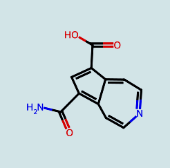 NC(=O)c1cc(C(=O)O)c2ccnccc1-2